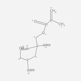 C=C(C)C(=O)OCC(CC(CO)NC)(NC)NC